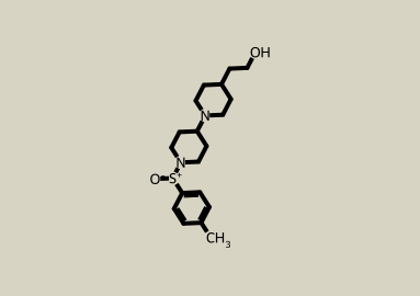 Cc1ccc([S+]([O-])N2CCC(N3CCC(CCO)CC3)CC2)cc1